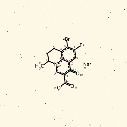 CC1CCc2c(Br)c(F)cc3c(=O)c(C(=O)[O-])cn1c23.[Na+]